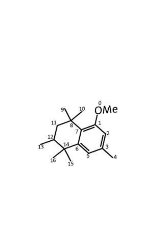 COc1cc(C)cc2c1C(C)(C)CC(C)C2(C)C